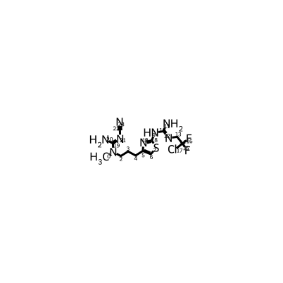 CN(CCCc1csc(NC(N)=NCC(F)(F)Cl)n1)C(N)=NC#N